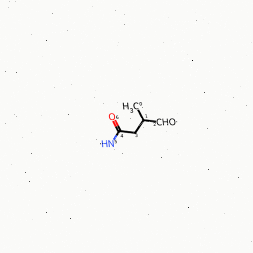 CC([C]=O)CC([NH])=O